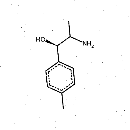 Cc1ccc([C@@H](O)C(C)N)cc1